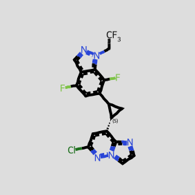 Fc1cc(C2C[C@@H]2c2cc(Cl)nn3ccnc23)c(F)c2c1cnn2CC(F)(F)F